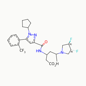 CC(CC(CC(=O)O)NC(=O)c1cc(-c2ccccc2C(F)(F)F)n(C2CCCC2)n1)N1C[C@@H](F)[C@H](F)C1